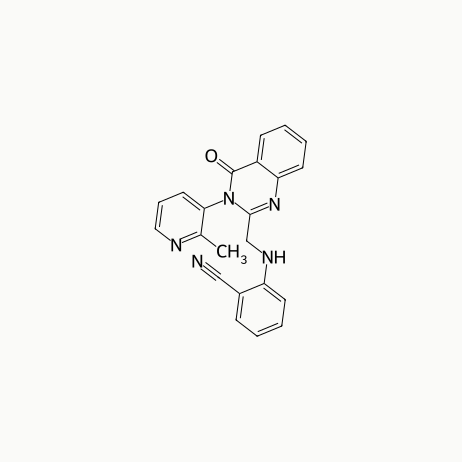 Cc1ncccc1-n1c(CNc2ccccc2C#N)nc2ccccc2c1=O